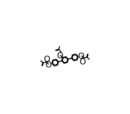 C=C(C)COc1cc(-c2ccc(OC(=O)C(=C)C)cc2)ccc1-c1ccc(OC(=O)C(=C)C)cc1